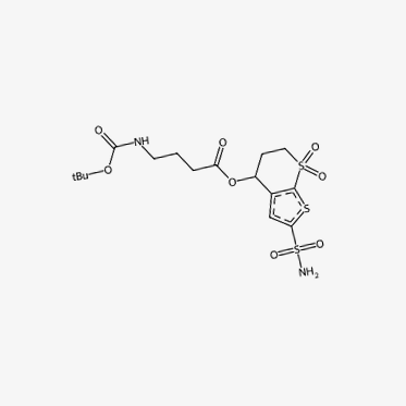 CC(C)(C)OC(=O)NCCCC(=O)OC1CCS(=O)(=O)c2sc(S(N)(=O)=O)cc21